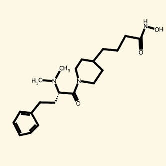 CN(C)[C@@H](CCc1ccccc1)C(=O)N1CCC(CCCC(=O)NO)CC1